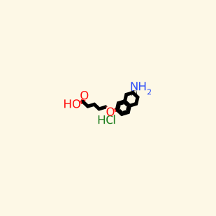 Cl.N[C@H]1CCc2ccc(OCCCCC(=O)O)cc2C1